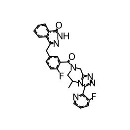 CC1CN(C(=O)c2cc(Cc3n[nH]c(=O)c4ccccc34)ccc2F)Cc2nnc(-c3ncccc3F)n21